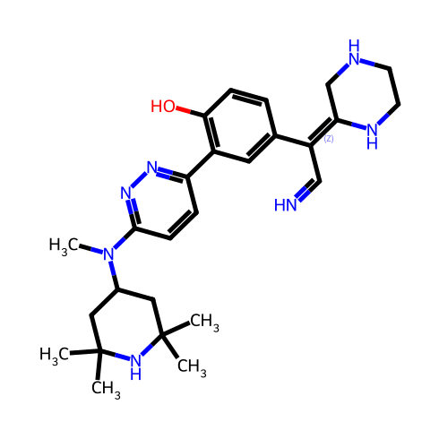 CN(c1ccc(-c2cc(/C(C=N)=C3\CNCCN3)ccc2O)nn1)C1CC(C)(C)NC(C)(C)C1